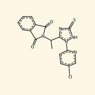 CC(c1nc(=S)[nH]n1-c1ccc(Cl)cn1)N1C(=O)c2ccccc2C1=O